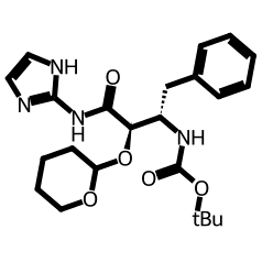 CC(C)(C)OC(=O)N[C@@H](Cc1ccccc1)[C@@H](OC1CCCCO1)C(=O)Nc1ncc[nH]1